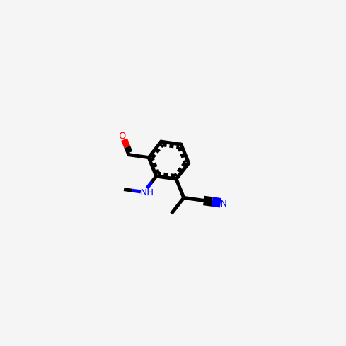 CNc1c(C=O)cccc1C(C)C#N